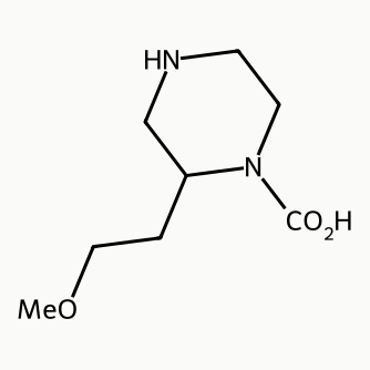 COCCC1CNCCN1C(=O)O